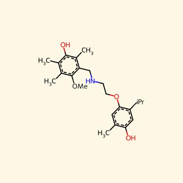 COc1c(C)c(C)c(O)c(C)c1CNCCOc1cc(C)c(O)cc1C(C)C